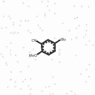 [C-]#[N+]c1cc(C(C)(C)C)ccc1OC